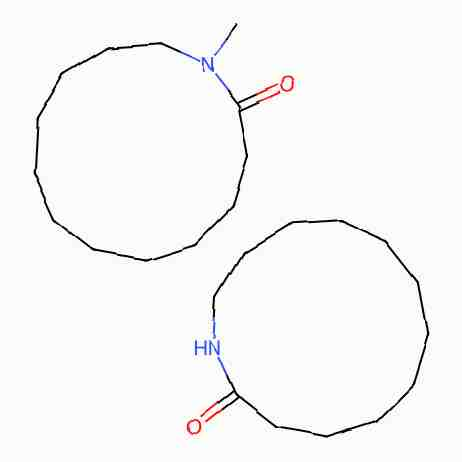 CN1CCCCCCCCCCCC1=O.O=C1CCCCCCCCCCCN1